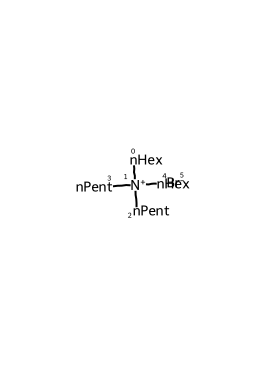 CCCCCC[N+](CCCCC)(CCCCC)CCCCCC.[Br-]